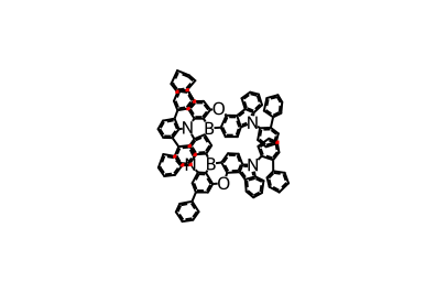 c1ccc(-c2cc3c4c(c2)N(c2ccccc2)c2cc5c(cc2B4c2ccc4c(c2O3)c2ccccc2n4-c2ccccc2-c2ccccc2)B2c3ccc4c(c3Oc3cc(-c6ccccc6)cc(c32)N5c2c(-c3ccccc3)cccc2-c2ccccc2)c2ccccc2n4-c2ccccc2-c2ccccc2)cc1